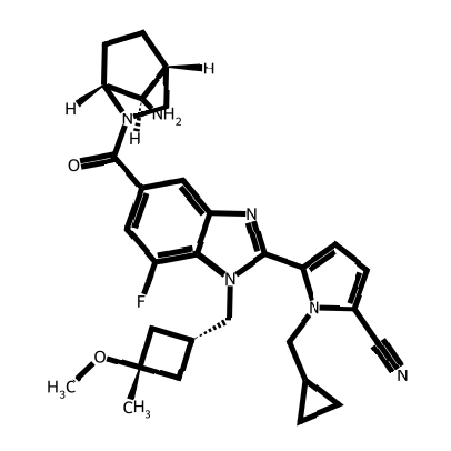 CO[C@]1(C)C[C@H](Cn2c(-c3ccc(C#N)n3CC3CC3)nc3cc(C(=O)N4C[C@H]5CC[C@@H]4[C@@H]5N)cc(F)c32)C1